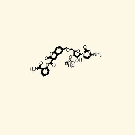 NC(=O)c1ccccc1OC(=O)c1cc2cc(COC[C@H]3O[C@@H](n4ccc(N)nc4=O)[C@H](O)[C@@H]3O[PH](=O)O)ccc2oc1=O